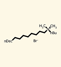 CCCCCCCCCCCCCCCCCC[N+](C)(C)CCCC.[Br-]